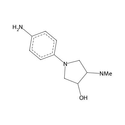 CNC1CN(c2ccc(N)cc2)CC1O